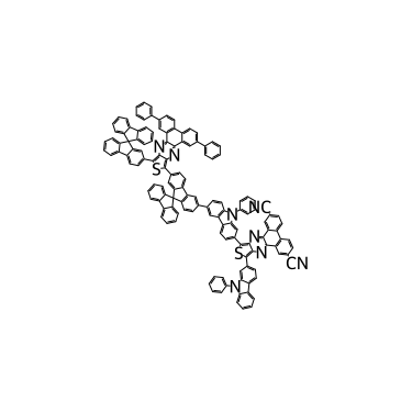 N#Cc1ccc2c3ccc(C#N)cc3c3nc4c(-c5ccc6c7cc(-c8ccc9c(c8)-c8ccc(-c%10sc(-c%11ccc%12c(c%11)C%11(c%13ccccc%13-c%13ccccc%13%11)c%11ccccc%11-%12)c%11nc%12c%13cc(-c%14ccccc%14)ccc%13c%13ccc(-c%14ccccc%14)cc%13c%12nc%10%11)cc8C98c9ccccc9-c9ccccc98)ccc7n(-c7ccccc7)c6c5)sc(-c5ccc6c7ccccc7n(-c7ccccc7)c6c5)c4nc3c2c1